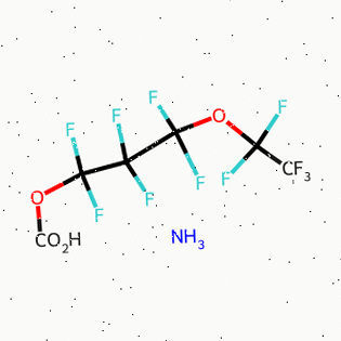 N.O=C(O)OC(F)(F)C(F)(F)C(F)(F)OC(F)(F)C(F)(F)F